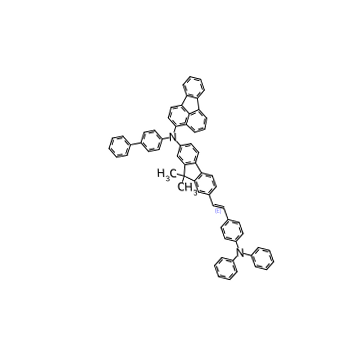 CC1(C)c2cc(/C=C/c3ccc(N(c4ccccc4)c4ccccc4)cc3)ccc2-c2ccc(N(c3ccc(-c4ccccc4)cc3)c3ccc4c5c(cccc35)-c3ccccc3-4)cc21